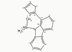 C[SiH](C)C1c2ccccc2-c2cccc(C3=CC=CC3)c21